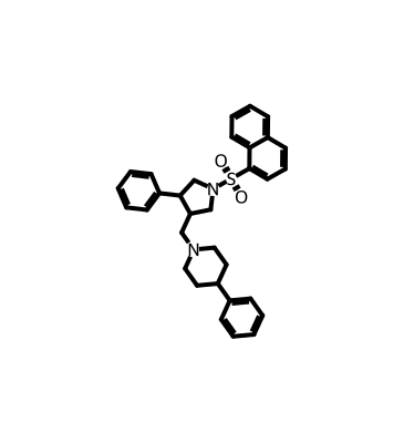 O=S(=O)(c1cccc2ccccc12)N1CC(CN2CCC(c3ccccc3)CC2)C(c2ccccc2)C1